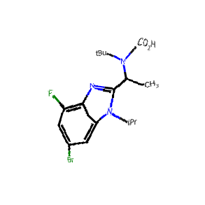 CC(c1nc2c(F)cc(Br)cc2n1C(C)C)N(C(=O)O)C(C)(C)C